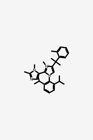 Cc1ccccc1C(C)(C)c1cn(-c2c(C(C)C)cccc2C(C)C)c(-c2cnc(C)n2C)[n+]1C